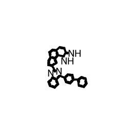 N=C1C=Cc2ccc3ccc(-c4nc(-c5ccc(-c6ccccc6)cc5)c5ccccc5n4)cc3c2C1=N